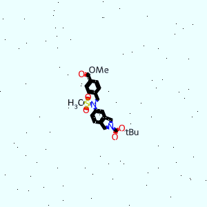 COC(=O)c1ccc(CN(c2ccc3c(c2)CN(C(=O)OC(C)(C)C)C3)S(C)(=O)=O)cc1